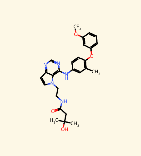 Cc1cc(Nc2ncnc3ccn(CCNC(=O)CC(C)(C)O)c23)ccc1Oc1cccc(OC(F)(F)F)c1